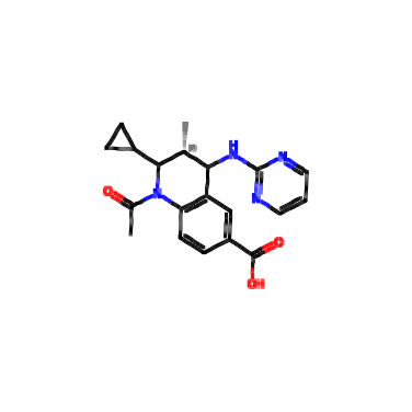 CC(=O)N1c2ccc(C(=O)O)cc2C(Nc2ncccn2)[C@@H](C)C1C1CC1